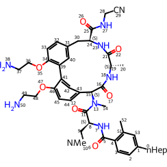 CCCCCCCc1ccc(C(=O)N[C@@H](CNC)C(=O)N(C)[C@@H]2C(=O)N[C@@H](C)C(=O)N[C@H](C(=O)NCC#N)Cc3ccc(OCCN)c(c3)-c3cc2ccc3OCCN)c(C)c1